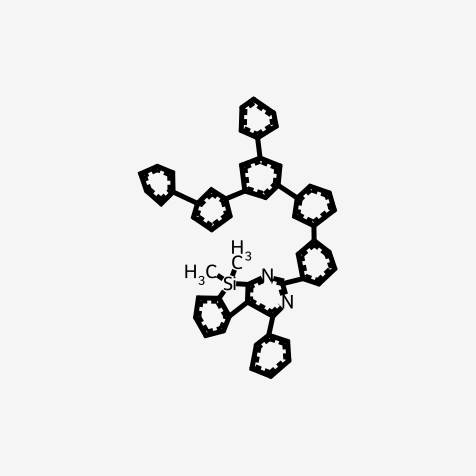 C[Si]1(C)c2ccccc2-c2c(-c3ccccc3)nc(-c3cccc(-c4cccc(-c5cc(-c6ccccc6)cc(-c6cccc(-c7ccccc7)c6)c5)c4)c3)nc21